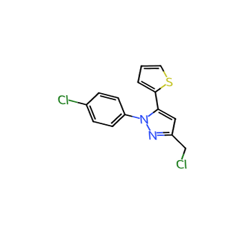 ClCc1cc(-c2cccs2)n(-c2ccc(Cl)cc2)n1